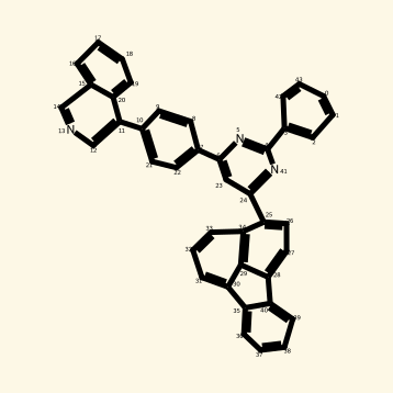 c1ccc(-c2nc(-c3ccc(-c4cncc5ccccc45)cc3)cc(-c3ccc4c5c(cccc35)-c3ccccc3-4)n2)cc1